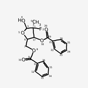 C[C@@]1(F)C(O)OC(COC(=O)c2ccccc2)C1OC(=O)c1ccccc1